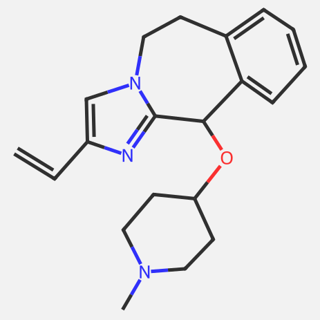 C=Cc1cn2c(n1)C(OC1CCN(C)CC1)c1ccccc1CC2